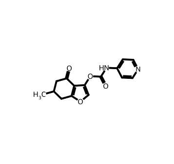 CC1CC(=O)c2c(OC(=O)Nc3ccncc3)coc2C1